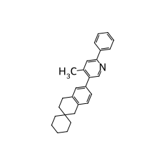 Cc1cc(-c2ccccc2)ncc1-c1ccc2c(c1)CCC1(CCCCC1)C2